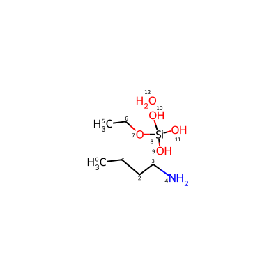 CCCCN.CCO[Si](O)(O)O.O